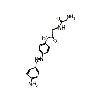 NCC(=O)NCC(=O)Nc1ccc(/N=N/c2ccc(N)cc2)cc1